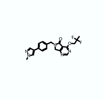 Cn1cc(-c2ccc(CN3Cc4ncnc(OCC(C)(F)F)c4C3=O)cc2)cn1